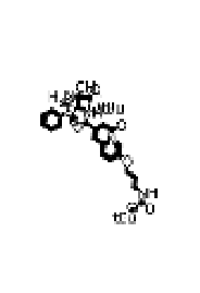 CC(C)(C)OC(=O)NCCCOc1ccc2cc(C(=O)NC(C(C)(N)C(=O)OC(C)(C)C)S(=O)(=O)c3ccccc3)cc(=O)n2c1